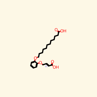 O=C(O)/C=C/COc1ccccc1OCCCCCCCCCCCC(=O)O